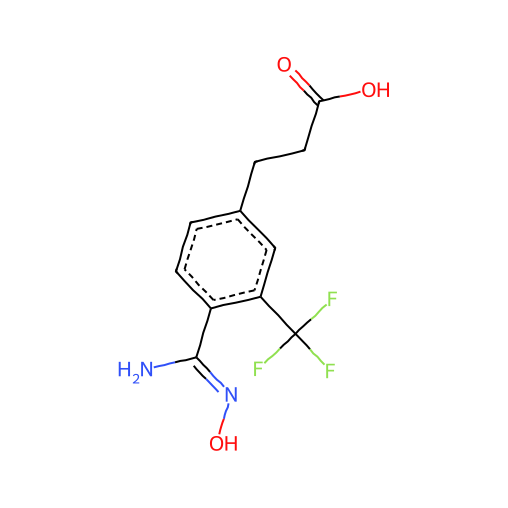 NC(=NO)c1ccc(CCC(=O)O)cc1C(F)(F)F